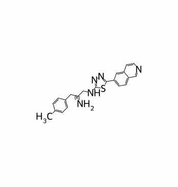 Cc1ccc(C[C@@H](N)CNc2nnc(-c3ccc4cnccc4c3)s2)cc1